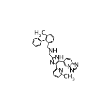 Cc1cccc(-c2nc(CNCc3cccc(C)c3-c3ccccc3)[nH]c2-c2ccc3ncnn3c2)n1